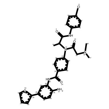 CC(C(=O)Nc1ccc(Cl)cc1)N(C(=O)CN(C)C)c1ccc(C(=O)Nc2cc(-c3cccs3)ccc2N)cc1